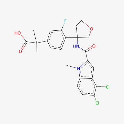 Cn1c(C(=O)NC2(c3ccc(C(C)(C)C(=O)O)cc3F)CCOC2)cc2c(Cl)c(Cl)ccc21